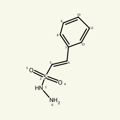 NNS(=O)(=O)C=Cc1ccccc1